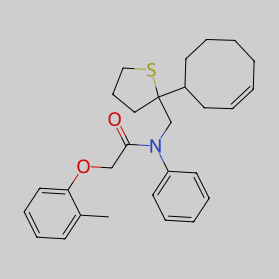 Cc1ccccc1OCC(=O)N(CC1(C2C/C=C\CCCC2)CCCS1)c1ccccc1